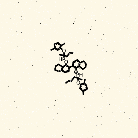 CCCCC(C)(Oc1cc(C)ccc1C)POc1c(-c2ccc3c(c2OPC(C)(CCC)Oc2cc(C)ccc2C)CCCC3)ccc2c1CCCC2